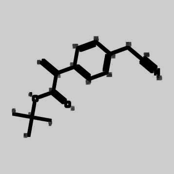 C=C(C(=O)OC(C)(C)C)c1ccc(CC#N)cc1